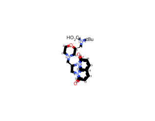 CC(C)(C)N(C[C@@H]1CN(C[C@@H]2Cn3c(=O)ccc4ccc(=O)n2c43)CCO1)C(=O)O